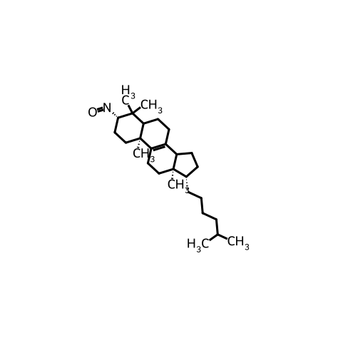 CC(C)CCCC[C@H]1CCC2C3=C(CC[C@@]21C)[C@@]1(C)CC[C@H](N=O)C(C)(C)C1CC3